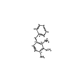 Cc1c(N)ccc(Cc2ccccc2)c1N